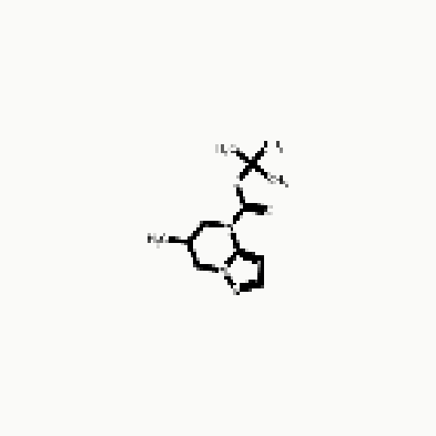 CC1CN(C(=O)OC(C)(C)C)c2ccnn2C1